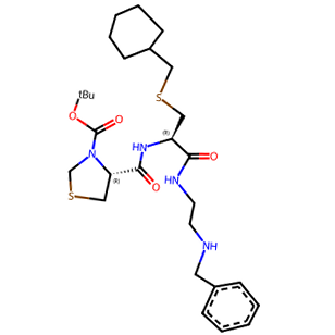 CC(C)(C)OC(=O)N1CSC[C@H]1C(=O)N[C@@H](CSCC1CCCCC1)C(=O)NCCNCc1ccccc1